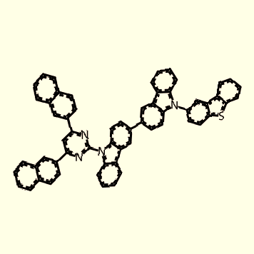 c1ccc2cc(-c3cc(-c4ccc5ccccc5c4)nc(-n4c5ccccc5c5cc(-c6ccc7c(c6)c6ccccc6n7-c6ccc7sc8ccccc8c7c6)ccc54)n3)ccc2c1